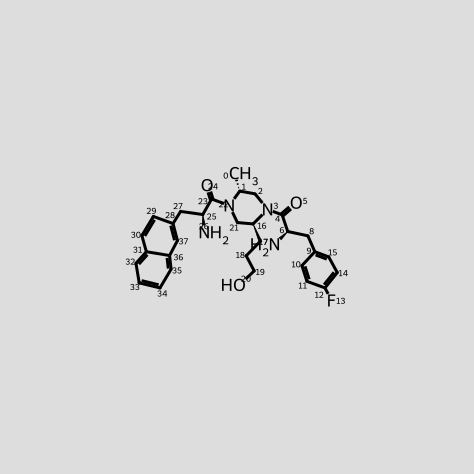 C[C@@H]1CN(C(=O)[C@H](N)Cc2ccc(F)cc2)[C@@H](CCCO)CN1C(=O)[C@@H](N)Cc1ccc2ccccc2c1